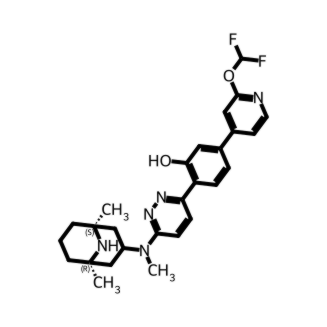 CN(c1ccc(-c2ccc(-c3ccnc(OC(F)F)c3)cc2O)nn1)C1C[C@]2(C)CCC[C@](C)(C1)N2